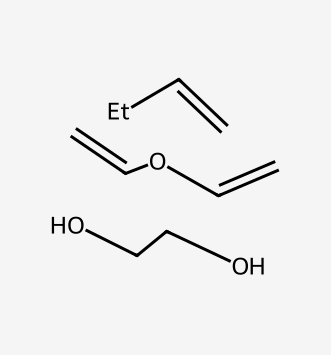 C=CCC.C=COC=C.OCCO